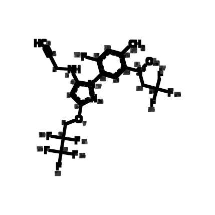 C#CCNc1cc(OCC(F)(F)C(F)(F)F)nn1-c1cc([S+]([O-])CC(F)(F)F)c(C)cc1F